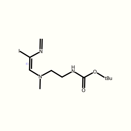 C=N/C(I)=C\N(C)CCNC(=O)OC(C)(C)C